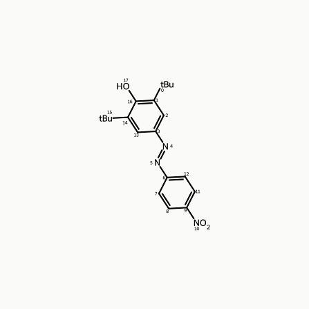 CC(C)(C)c1cc(N=Nc2ccc([N+](=O)[O-])cc2)cc(C(C)(C)C)c1O